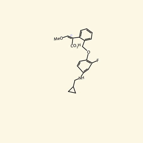 CO/C=C(\C(=O)O)c1ccccc1COc1ccc(NCC2CC2)cc1F